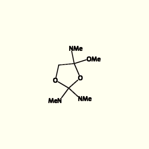 CNC1(OC)COC(NC)(NC)O1